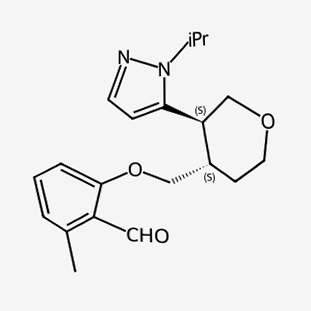 Cc1cccc(OC[C@H]2CCOC[C@@H]2c2ccnn2C(C)C)c1C=O